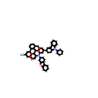 CC(C)(C)c1cc(-c2cccc3cccc(-c4ccccc4N(c4cccc(-c5ccc6c(c5)c5ccccc5n6-c5ccccc5)c4)c4ccc5c(c4)oc4ccccc45)c23)cc(C(C)(C)C)c1